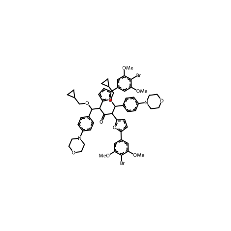 COc1cc(-c2ccc(C(C(=O)C(c3ccc(-c4cc(OC)c(Br)c(OC)c4)o3)C(OCC3CC3)c3ccc(N4CCOCC4)cc3)C(OCC3CC3)c3ccc(N4CCOCC4)cc3)o2)cc(OC)c1Br